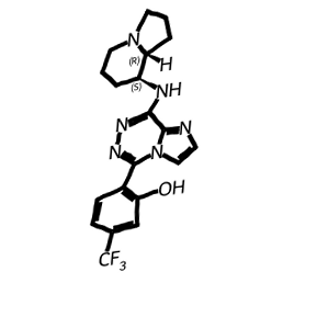 Oc1cc(C(F)(F)F)ccc1-c1nnc(N[C@H]2CCCN3CCC[C@H]23)c2nccn12